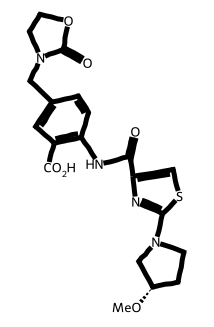 CO[C@H]1CCN(c2nc(C(=O)Nc3ccc(CN4CCOC4=O)cc3C(=O)O)cs2)C1